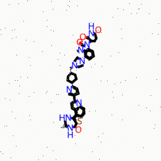 C[C@@H]1CNc2c(sc3ccc4nc(-c5ccc([C@H]6CC[C@@H](CN7CCN(c8cccc9c8n(C)c(=O)n9C8CCC(=O)NC8=O)CC7)CC6)nc5)ccc4c23)C(=O)N1